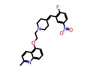 Cc1ccc2c(OCCN3CCC(=Cc4cc([N+](=O)[O-])ccc4F)CC3)cccc2n1